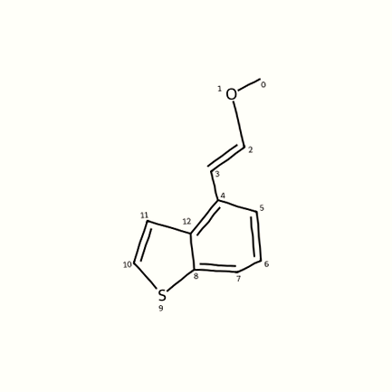 COC=Cc1cccc2sccc12